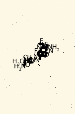 CC(C(N)=O)N(C)[C@H]1CCN(c2ncc3c4c(c(-c5ncc(F)c6sc(N)c(C#N)c56)c(F)c3n2)COC4)C1